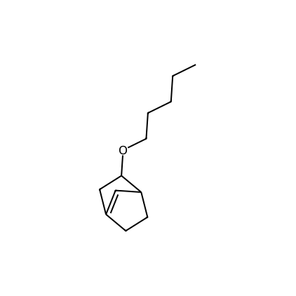 CCCCCOC1CC2=CC1CC2